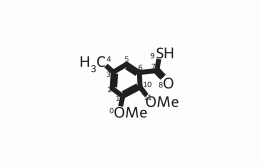 COc1cc(C)cc(C(=O)S)c1OC